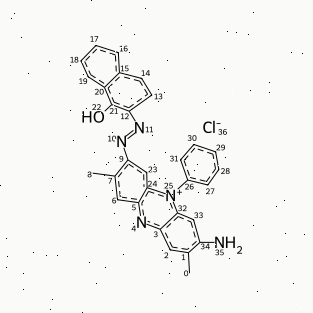 Cc1cc2nc3cc(C)c(N=Nc4ccc5ccccc5c4O)cc3[n+](-c3ccccc3)c2cc1N.[Cl-]